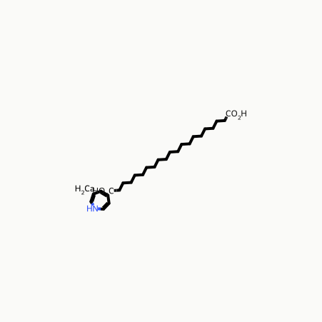 C1=CC=CNC=C1.O=C(O)CCCCCCCCCCCCCCCCCCCC(=O)O.[CaH2]